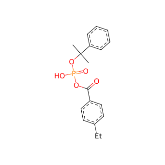 CCc1ccc(C(=O)OP(=O)(O)OC(C)(C)c2ccccc2)cc1